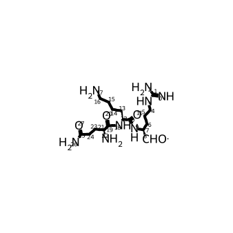 N=C(N)NCCC[C@@H]([C]=O)NC(=O)[C@H](CCCCN)NC(=O)[C@@H](N)CCC(N)=O